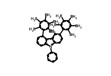 Bc1c(B)c(B)c(-c2ccc3c(c2C(C)(C)C)c2c(-c4c(B)c(B)c(B)c(B)c4B)cccc2n3-c2ccccc2)c(B)c1B